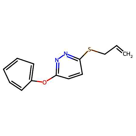 C=CCSc1ccc(Oc2ccccc2)nn1